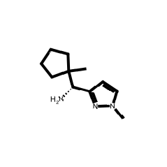 Cn1ccc([C@H](N)C2(C)CCCC2)n1